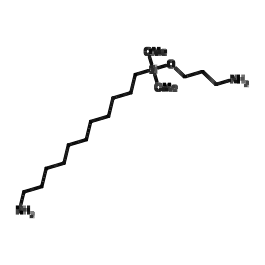 CO[Si](CCCCCCCCCCCN)(OC)OCCCN